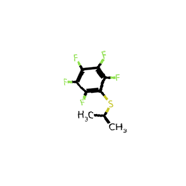 CC(C)Sc1c(F)c(F)c(F)c(F)c1F